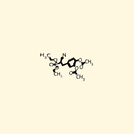 CCOP(=O)(OCC)C(C#N)Cc1ccc(OC(C)=O)c(OC(C)=O)c1